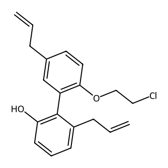 C=CCc1ccc(OCCCl)c(-c2c(O)cccc2CC=C)c1